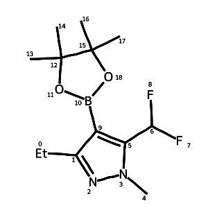 CCc1nn(C)c(C(F)F)c1B1OC(C)(C)C(C)(C)O1